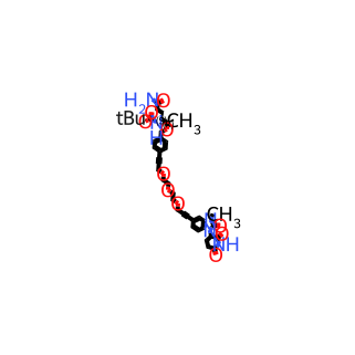 C[C@@H](OCc1ccc(C#CCOCCOCCOCC#Cc2ccc3c(c2)n(C)c(=O)n3C2CCC(=O)NC2=O)cc1)[C@H](CCC(N)=O)NC(=O)OC(C)(C)C